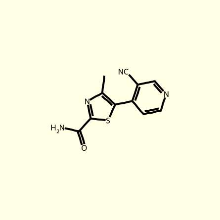 Cc1nc(C(N)=O)sc1-c1ccncc1C#N